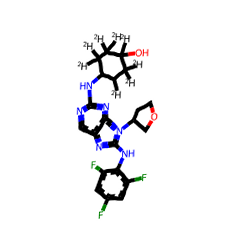 [2H]C1C(Nc2ncc3nc(Nc4c(F)cc(F)cc4F)n(C4CCOC4)c3n2)C([2H])([2H])C([2H])([2H])C([2H])(O)C1([2H])[2H]